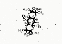 CCO[C@@H]1[C@H]2OC(C)(OC)C(C)(OC)O[C@@H]2[C@H](OCC)[C@@H]2OC(C)(OC)C(C)(OC)O[C@@H]12